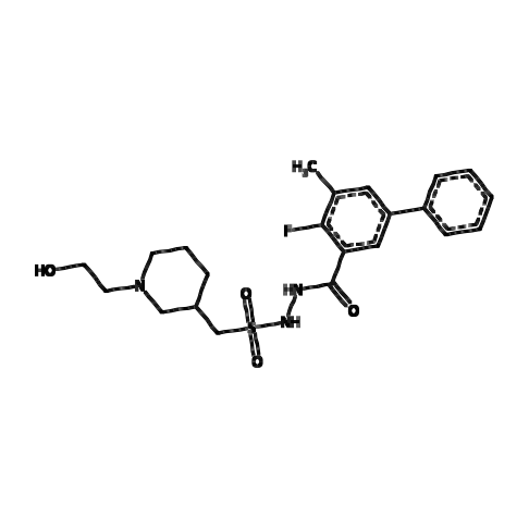 Cc1cc(-c2ccccc2)cc(C(=O)NNS(=O)(=O)CC2CCCN(CCO)C2)c1F